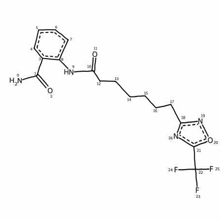 NC(=O)c1ccccc1NC(=O)CCCCCCc1noc(C(F)(F)F)n1